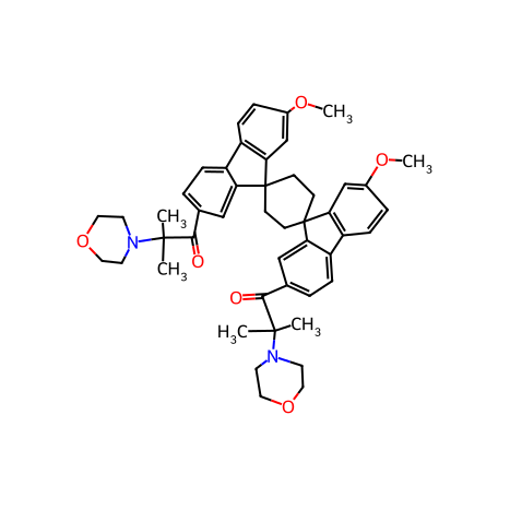 COc1ccc2c(c1)C1(CCC3(CC1)c1cc(OC)ccc1-c1ccc(C(=O)C(C)(C)N4CCOCC4)cc13)c1cc(C(=O)C(C)(C)N3CCOCC3)ccc1-2